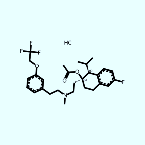 CC(=O)O[C@]1(CCN(C)CCc2cccc(OCC(F)(F)F)c2)CCc2cc(F)ccc2[C@@H]1C(C)C.Cl